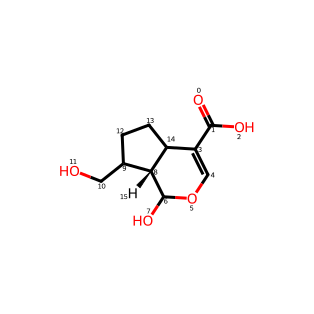 O=C(O)C1=COC(O)[C@@H]2C(CO)CCC12